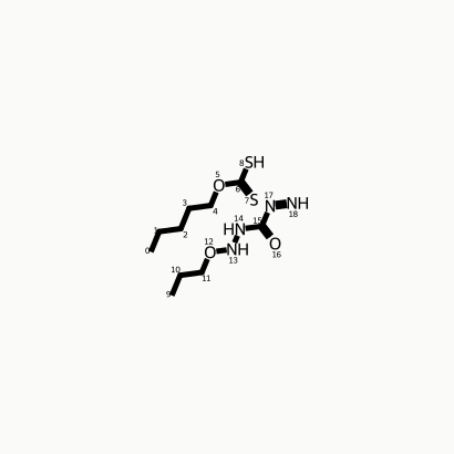 CCCCCOC(=S)S.CCCONNC(=O)N=N